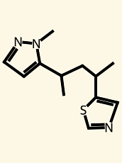 CC(CC(C)c1ccnn1C)c1cncs1